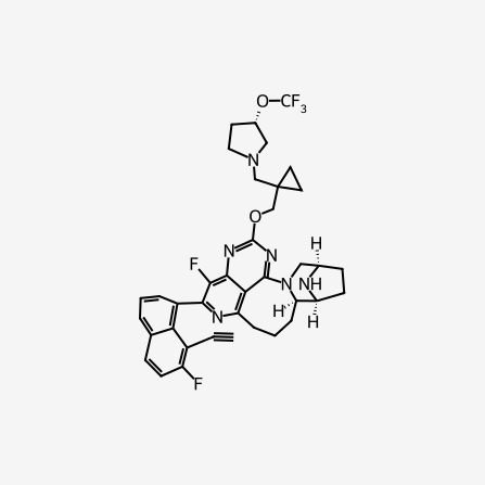 C#Cc1c(F)ccc2cccc(-c3nc4c5c(nc(OCC6(CN7CC[C@H](OC(F)(F)F)C7)CC6)nc5c3F)N3C[C@H]5CC[C@H](N5)[C@H]3CCC4)c12